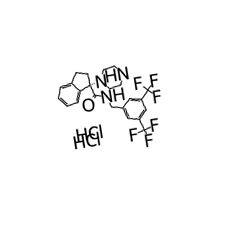 Cl.Cl.O=C(NCc1cc(C(F)(F)F)cc(C(F)(F)F)c1)[C@]1(N2CCNCC2)CCc2ccccc21